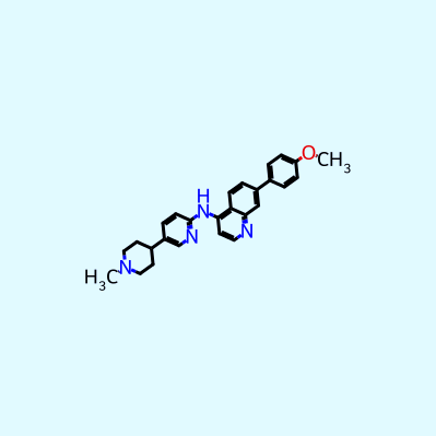 COc1ccc(-c2ccc3c(Nc4ccc(C5CCN(C)CC5)cn4)ccnc3c2)cc1